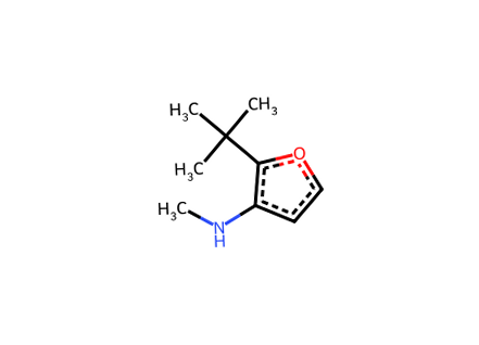 CNc1ccoc1C(C)(C)C